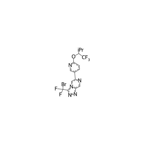 CC(C)C(Oc1ccc(-c2cn3c(C(F)(F)Br)nnc3cn2)cn1)C(F)(F)F